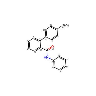 COc1ccc(-c2ccccc2C(=O)Nc2ccccc2)cc1